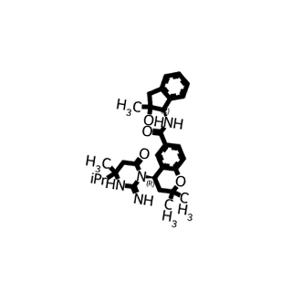 CC(C)C1(C)CC(=O)N([C@@H]2CC(C)(C)Oc3ccc(C(=O)N[C@@H]4c5ccccc5CC4(C)O)cc32)C(=N)N1